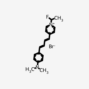 CC(F)[n+]1ccc(/C=C/C=C/c2ccc(N(C)C)cc2)cc1.[Br-]